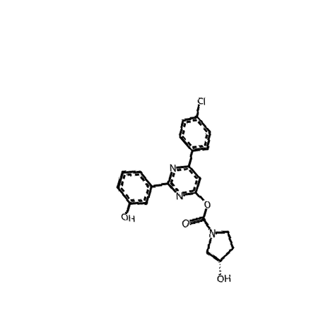 O=C(Oc1cc(-c2ccc(Cl)cc2)nc(-c2cccc(O)c2)n1)N1CC[C@H](O)C1